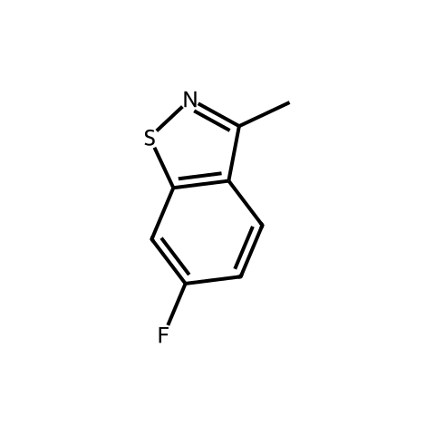 Cc1nsc2cc(F)ccc12